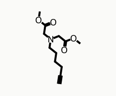 C#CCCCCN(CC(=O)OC)CC(=O)OC